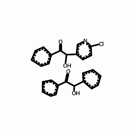 O=C(c1ccccc1)C(O)c1ccc(Cl)nc1.O=C(c1ccccc1)C(O)c1ccccc1